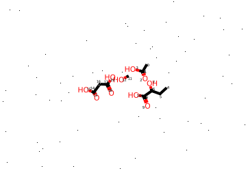 CC(=O)O.CCC(O)C(=O)O.CO.O=C(O)CC(=O)O